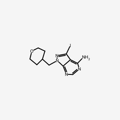 Nc1ncnc2c1c(I)nn2CC1CCOCC1